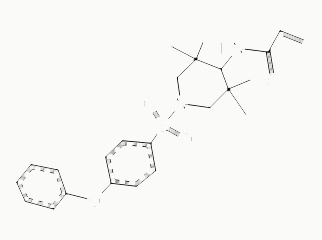 C=CC(=O)NC1C(C)(C)CN(S(=O)(=O)c2ccc(Oc3ccccc3)cc2)CC1(C)C